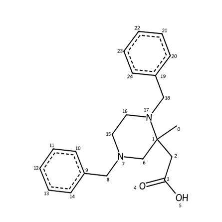 CC1(CC(=O)O)CN(Cc2ccccc2)CCN1Cc1ccccc1